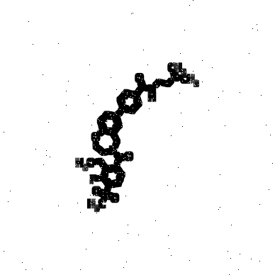 CCc1c(C(=O)N2CCOc3ccc(-c4ccc(C(=O)NCCN(C)C)cc4)cc3C2)ccc(S(C)(=O)=O)c1F